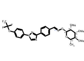 CO[C@@H]1[C@@H](OC)[C@H](C)O[C@@H](O/N=C/c2ccc(-c3ncn(-c4ccc(OC(F)(F)C(F)(F)F)cc4)n3)cc2)[C@@H]1OC